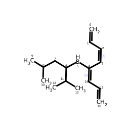 C=C/C=C\C(BC(CC(C)C)C(C)C)=C/C=C